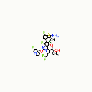 C[C@H](O)[C@H]1COc2c(Cl)c(-c3ccc(F)c4sc(N)c(C#N)c34)c(F)c3nc(OC[C@@]45CCCN4C[C@H](F)C5)nc(c23)C1CCCC(F)F